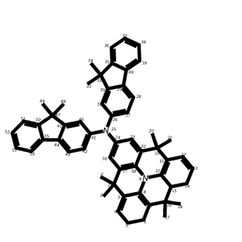 CC1(C)C2=CCCC3=C2N2C4=C(C=CCC4C3(C)C)C(C)(C)c3cc(N(c4ccc5c(c4)C(C)(C)c4ccccc4-5)c4ccc5c(c4)C(C)(C)c4ccccc4-5)cc1c32